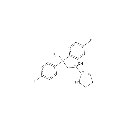 CS(C[C@@H](O)[C@@H]1CCCN1)(c1ccc(F)cc1)c1ccc(F)cc1